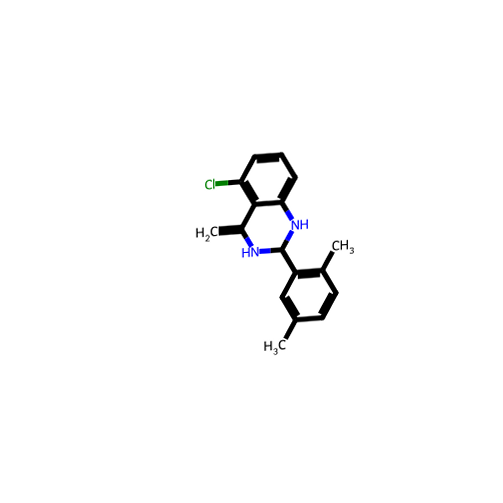 C=C1NC(c2cc(C)ccc2C)Nc2cccc(Cl)c21